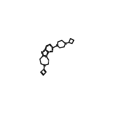 C1=CC(N2CCc3nc4ccc(N5CCN(C6CCC6)CC5)cc4n3CC2)=C1